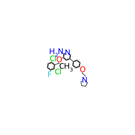 CC(Oc1cc(-c2ccc(OCCN3CCCC3)cc2)cnc1N)c1c(Cl)ccc(F)c1Cl